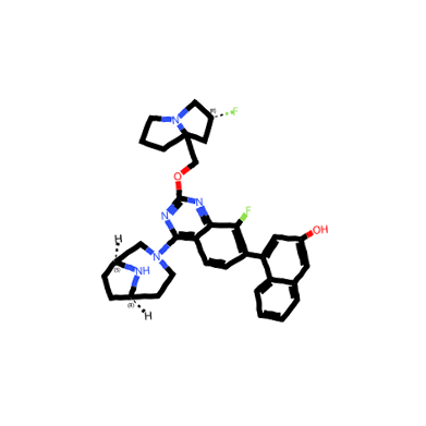 Oc1cc(-c2ccc3c(N4CC[C@H]5CC[C@@H](C4)N5)nc(OCC45CCCN4C[C@H](F)C5)nc3c2F)c2ccccc2c1